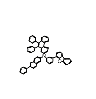 c1ccc(-c2ccc3cc(N(c4cccc(-c5cccc6c5oc5ccccc56)c4)c4ccc5c(c4)c(-c4ccccc4)c(-c4ccccc4)c4ccccc45)ccc3c2)cc1